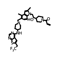 C=CC(=O)N1CCC(C(O)Cn2c(C)cc3c(C)c(CN4CCC(Nc5ncnc6sc(CC(F)(F)F)cc56)CC4)ccc32)CC1